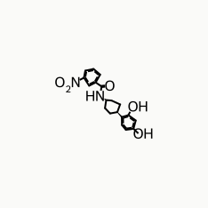 O=C(N[C@H]1CC[C@H](c2ccc(O)cc2O)CC1)c1cccc([N+](=O)[O-])c1